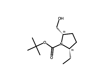 CC[C@H]1CC[C@@H](CO)N1C(=O)OC(C)(C)C